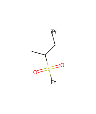 CCS(=O)(=O)C(C)CC(C)C